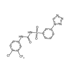 O=C(Nc1ccc(Cl)c(C(F)(F)F)c1)NS(=O)(=O)c1cccc(-n2cnnn2)c1